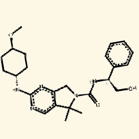 CO[C@H]1CC[C@H](Nc2ncc3c(n2)CN(C(=O)N[C@H](CO)c2ccccc2)C3(C)C)CC1